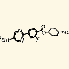 CCCCCCCCCC[C@H]1CC[C@H](OC(=O)c2ccc(-c3ncc(CCCCC)cn3)cc2F)CC1